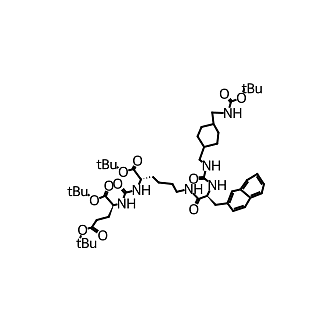 CC(C)(C)OC(=O)CC[C@H](NC(=O)N[C@@H](CCCCNC(=O)[C@H](Cc1ccc2ccccc2c1)NC(=O)NCC1CCC(CNC(=O)OC(C)(C)C)CC1)C(=O)OC(C)(C)C)C(=O)OC(C)(C)C